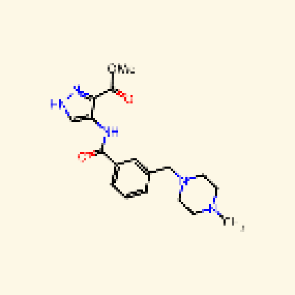 COC(=O)c1n[nH]cc1NC(=O)c1cccc(CN2CCN(C)CC2)c1